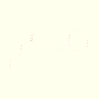 CCCC(C)C(=O)OCCN1CCOCC1